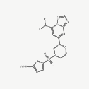 CC(=O)Nc1ncc(S(=O)(=O)N2CCOC(c3cc(C(F)F)n4ncnc4n3)C2)s1